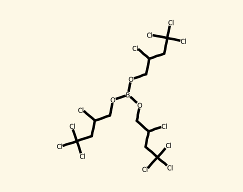 ClC(COB(OCC(Cl)CC(Cl)(Cl)Cl)OCC(Cl)CC(Cl)(Cl)Cl)CC(Cl)(Cl)Cl